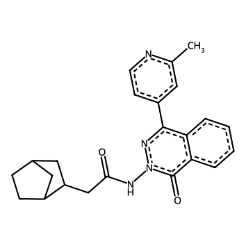 Cc1cc(-c2nn(NC(=O)CC3CC4CCC3C4)c(=O)c3ccccc23)ccn1